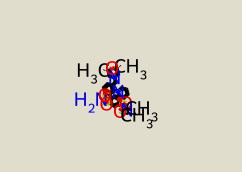 C[C@@H]1CN(Cc2cccc(C3(S(N)(=O)=O)C=CC(S(=O)(=O)N(C)C)=CC3)c2N2CCCCC2)C[C@H](C)O1